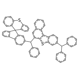 c1ccc(C(c2ccccc2)c2ccc3c(c2)sc2c(C(c4ccccc4)c4ccc5c(c4)C4(c6ccccc6Sc6ccccc64)c4ccccc4-5)cc4ccccc4c23)cc1